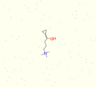 C[N+](C)(C)CCCC(O)=C1CC1